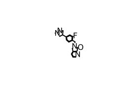 CN1CC(c2ccc(CN3Cc4cccnc4C3=O)c(F)c2)C=N1